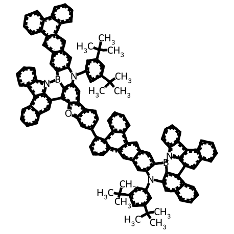 CC(C)(C)c1cc(N2c3cc4cc5c(cc4cc3B3c4c2cc2ccccc2c4-c2cc4ccccc4c4c6ccccc6n3c24)c2ccccc2c2c(-c3ccc4c(c3)oc3c6c7c(cc34)N(c3cc(C(C)(C)C)cc(C(C)(C)C)c3)c3cc4cc8c9ccccc9c9ccccc9c8cc4cc3B7n3c4ccccc4c4c7ccccc7cc-6c43)cccc52)cc(C(C)(C)C)c1